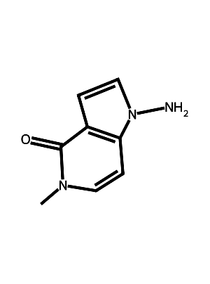 Cn1ccc2c(ccn2N)c1=O